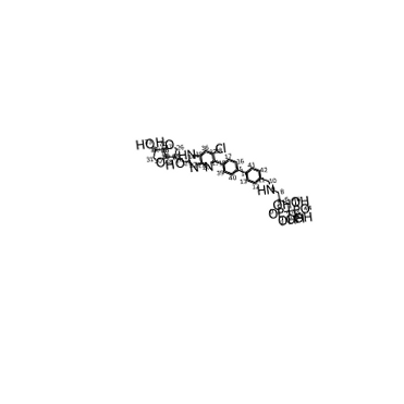 O=P(O)(O)C(O)(CCCNCc1ccc(-c2ccc(-c3nc4nc(O[C@@H]5CO[C@H]6[C@@H]5OC[C@H]6O)[nH]c4cc3Cl)cc2)cc1)P(=O)(O)O